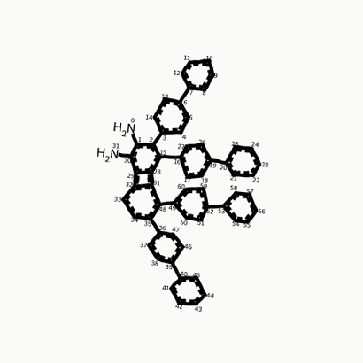 Nc1c(-c2ccc(-c3ccccc3)cc2)c(-c2ccc(-c3ccccc3)cc2)c2c(c1N)=c1ccc(-c3ccc(-c4ccccc4)cc3)c(-c3ccc(-c4ccccc4)cc3)c1=2